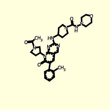 CC(=O)N1CCC(n2c(=O)c(-c3ccccc3C)cc3cnc(NC4CCN(C(=O)NN5CCOCC5)CC4)nc32)C1